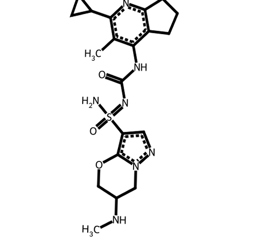 CNC1COc2c(S(N)(=O)=NC(=O)Nc3c(C)c(C4CC4)nc4c3CCC4)cnn2C1